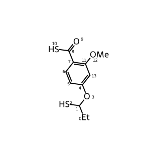 CCC(S)Oc1ccc(C(=O)S)c(OC)c1